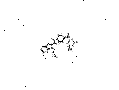 Cc1c(-c2cc3cccnc3n2CC2CC2)oc2cc(C(=O)N3C[C@H](N)C[C@@H](F)C3)ccc12